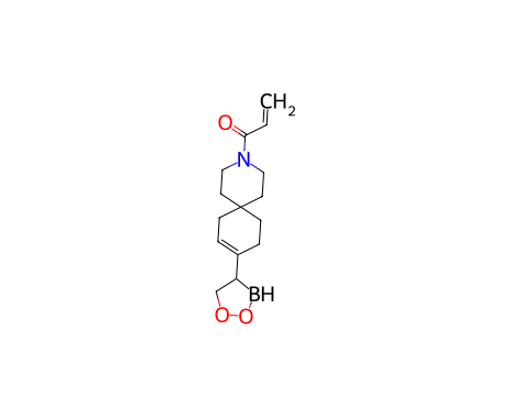 C=CC(=O)N1CCC2(CC=C(C3BOOC3)CC2)CC1